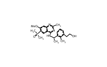 COc1cc2nc(C)nc(N[C@H](C)c3cccc(CCO)c3C)c2cc1P(C)(C)=O